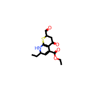 CCOC(=O)C1=CC(CC)NC2=C1C(=O)CC(C=O)S2